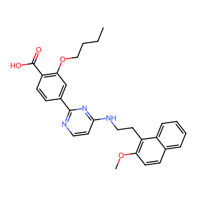 CCCCOc1cc(-c2nccc(NCCc3c(OC)ccc4ccccc34)n2)ccc1C(=O)O